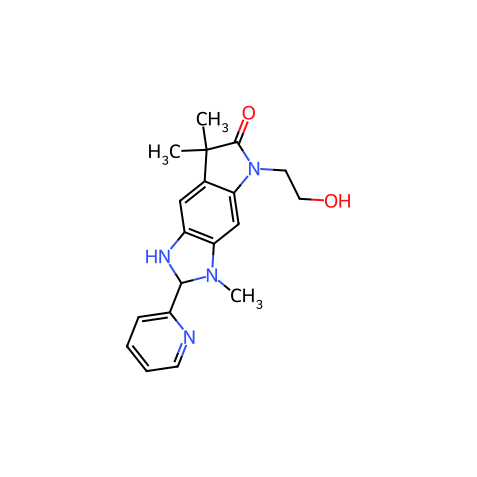 CN1c2cc3c(cc2NC1c1ccccn1)C(C)(C)C(=O)N3CCO